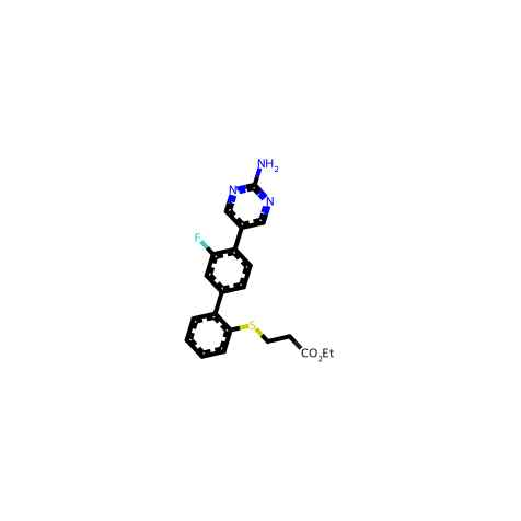 CCOC(=O)CCSc1ccccc1-c1ccc(-c2cnc(N)nc2)c(F)c1